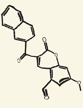 COc1cc(C=O)c2cc(C(=O)c3ccc4ccccc4c3)c(=O)oc2c1